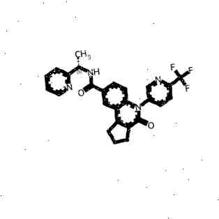 C[C@H](NC(=O)c1ccc2c(c1)c1c(c(=O)n2-c2ccc(C(F)(F)F)nc2)CCC1)c1ccccn1